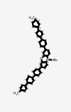 CCCCN1c2ccc(-c3ccc(-c4ccc(-c5ccc(C)cc5)cc4)cc3)cc2Oc2cc(-c3ccc(-c4ccc(-c5ccc(C)cc5)cc4)cc3)ccc21